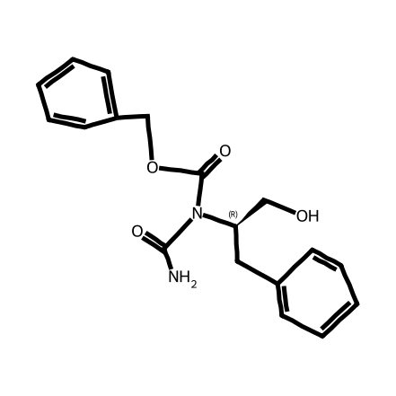 NC(=O)N(C(=O)OCc1ccccc1)[C@@H](CO)Cc1ccccc1